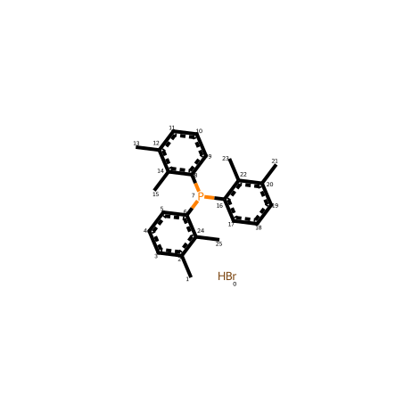 Br.Cc1cccc(P(c2cccc(C)c2C)c2cccc(C)c2C)c1C